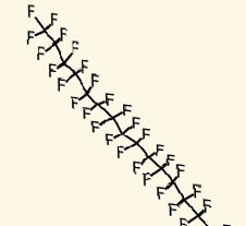 OC(F)C(F)(F)C(F)(F)C(F)(F)C(F)(F)C(F)(F)C(F)(F)C(F)(F)C(F)(F)C(F)(F)C(F)(F)C(F)(F)C(F)(F)C(F)(F)C(F)(F)F